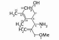 C=C(COC)C(N)C(CCO)C(C)=C(C)C